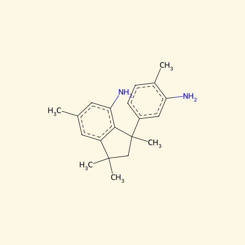 Cc1cc(N)c2c(c1)C(C)(C)CC2(C)c1ccc(C)c(N)c1